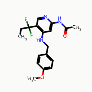 CCC(F)(F)c1cnc(NC(C)=O)cc1NCc1ccc(OC)cc1